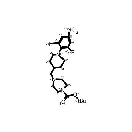 CC(C)(C)OC(=O)N1CCN(CC2CCN(c3c(F)cc([N+](=O)[O-])cc3F)CC2)CC1